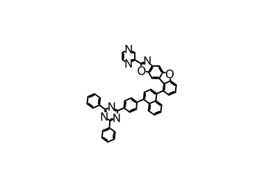 c1ccc(-c2nc(-c3ccccc3)nc(-c3ccc(-c4ccc(-c5cccc6oc7cc8nc(-c9cnccn9)oc8cc7c56)c5ccccc45)cc3)n2)cc1